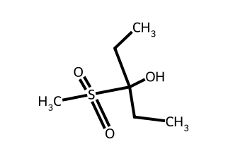 CCC(O)(CC)S(C)(=O)=O